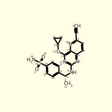 C#Cc1ccc2nc(N[C@H](C)c3ccc(S(N)(=O)=O)cc3)nc(OC3CC3)c2n1